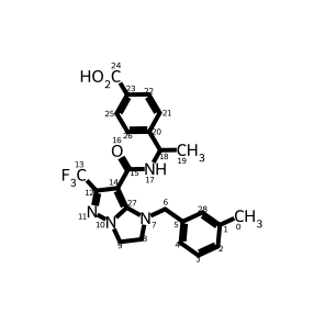 Cc1cccc(CN2CCn3nc(C(F)(F)F)c(C(=O)NC(C)c4ccc(C(=O)O)cc4)c32)c1